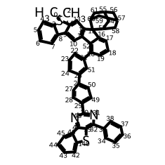 CS1(C)c2ccccc2-c2cc3c(cc21)C1(c2cccc(-c4cccc(-c5ccc(-c6nc(-c7ccccc7)c7sc8ccccc8c7n6)cc5)c4)c2-3)C2CC3CC(C2)CC1C3